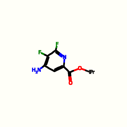 CC(C)OC(=O)c1cc(N)c(F)c(F)n1